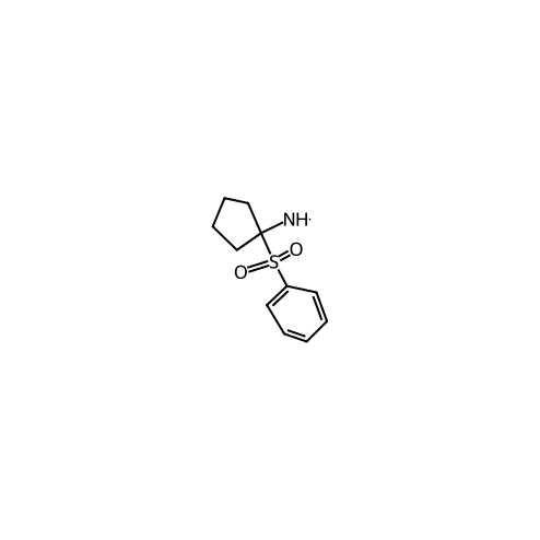 [NH]C1(S(=O)(=O)c2ccccc2)CCCC1